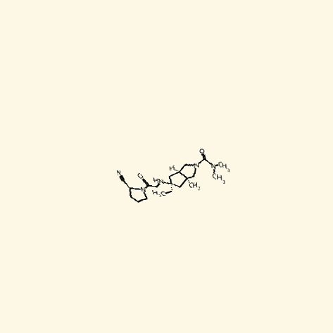 CC[C@]1(NCC(=O)N2CCC[C@H]2C#N)C[C@H]2CN(C(=O)N(C)C)C[C@@]2(C)C1